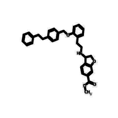 COC(=O)c1ccc2c(c1)OCC2NCCc1ccccc1OCc1ccc(CCc2ccccc2)cc1